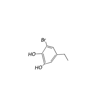 CCc1cc(O)c(O)c(Br)c1